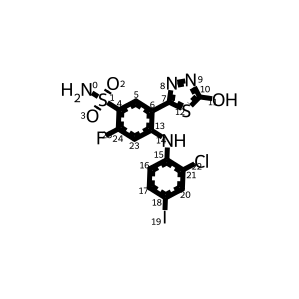 NS(=O)(=O)c1cc(-c2nnc(O)s2)c(Nc2ccc(I)cc2Cl)cc1F